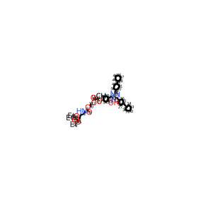 CCO[Si](CCCNC(=O)OCCOC(=O)C(C)Oc1ccc(-c2nc(-c3ccc(-c4ccccc4)cc3)nc(-c3ccc(-c4ccccc4)cc3)n2)c(O)c1)(OCC)OCC